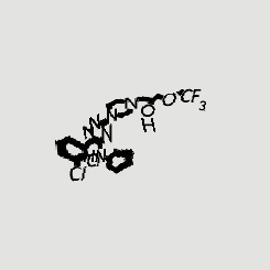 OC(COCC(F)(F)F)CN1CCN(c2nnc(-c3cccc(Cl)c3Cl)c(Nc3ccccc3)n2)CC1